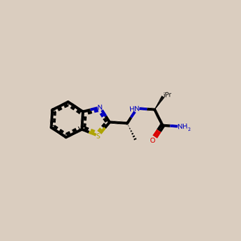 CC(C)[C@H](N[C@H](C)c1nc2ccccc2s1)C(N)=O